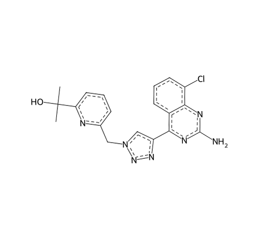 CC(C)(O)c1cccc(Cn2cc(-c3nc(N)nc4c(Cl)cccc34)nn2)n1